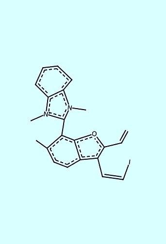 C=Cc1oc2c(-c3n(C)c4ccccc4[n+]3C)c(C)ccc2c1/C=C\I